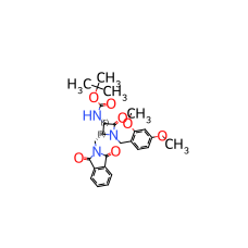 COc1ccc(CN2C(=O)[C@@H](NC(=O)OC(C)(C)C)[C@H]2CN2C(=O)c3ccccc3C2=O)c(OC)c1